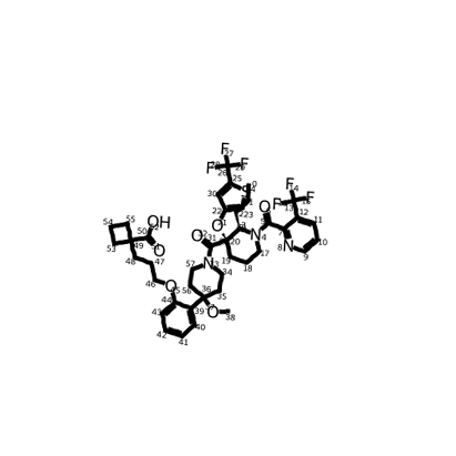 CCC[C@H]1N(C(=O)c2ncccc2C(F)(F)F)CCC[C@@]1(Oc1csc(C(F)(F)F)c1)C(=O)N1CCC(OC)(c2ccccc2OCCCC2(C(=O)O)CCC2)CC1